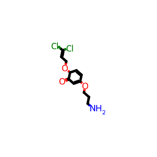 NCCCOC1=CC(=O)C(OCC=C(Cl)Cl)C=C1